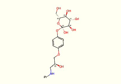 CC(C)NC[C@H](O)COc1ccc(O[C@@]2(O)O[C@H](CO)[C@@H](O)[C@H](O)[C@H]2O)cc1